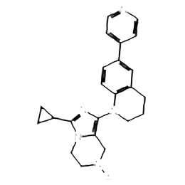 CC(=O)N1CCn2c(C3CC3)nc(N3CCCc4cc(-c5ccncc5)ccc43)c2C1